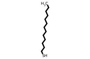 CCCCCCCCCCCCCS